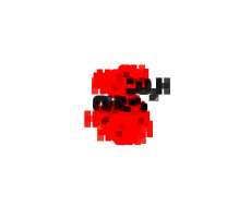 CC1OC(OC2C(C)OC(OC(=O)[C@]34CCC(C)(C)CC3C3=CCC5[C@@]6(C)CC[C@H](OC7OC(C(=O)O)C(O)C(OC8OCC(O)C(O)C8O)C7OC7OC(CO)C(O)C(O)C7O)CC6[C@@](C)(C=O)C[C@@]5(C)[C@]3(C)CC4)C(OC3OC(C)C(OC4OCC(O)C(OC5OC(CO)C(O)C(O)C5O)C4O)C(O)C3O)C2O)C(O)C(OC2OCC(O)C(O)C2O)C1O